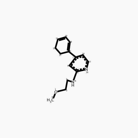 COCCNc1cc(C2=CC=CCC2)ccn1